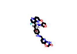 O=C(O)N[C@@H]1COC[C@H]1Oc1ccc2ncc(F)c(CCC34CCC(NCc5ccc6c(n5)NC(=O)CO6)(CC3)CO4)c2n1